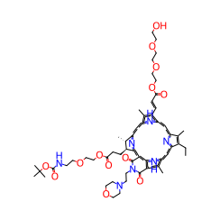 CCC1=C(C)c2cc3[nH]c(cc4nc(c5c6[nH]c(cc1n2)c(C)c6C(=O)N(CCN1CCOCC1)C5=O)[C@@H](CCC(=O)OCCOCCNC(=O)OC(C)(C)C)[C@@H]4C)c(C)c3/C=C/C(=O)OCCOCCOCCO